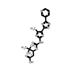 Cc1nc(NC(=O)OC(CC(=O)O)C(C)(C)C)sc1-c1nc(-c2cccnc2)no1